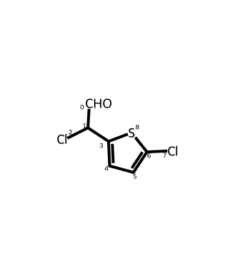 O=CC(Cl)c1ccc(Cl)s1